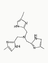 Cc1c[nH]c(CN(Cc2nc(C)c[nH]2)Cc2nc(C)c[nH]2)n1